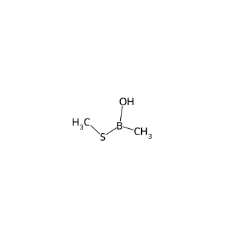 CSB(C)O